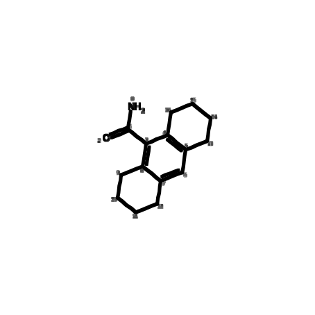 NC(=O)c1c2c(cc3c1CCCC3)CCCC2